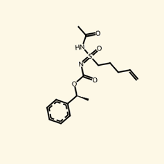 C=CCCCS(=O)(=NC(=O)O[C@@H](C)c1ccccc1)NC(C)=O